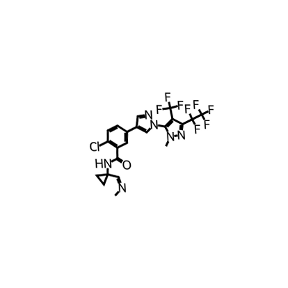 C/N=C\C1(NC(=O)c2cc(-c3cnn(-c4c(C(F)(F)F)c(C(F)(F)C(F)(F)F)nn4C)c3)ccc2Cl)CC1